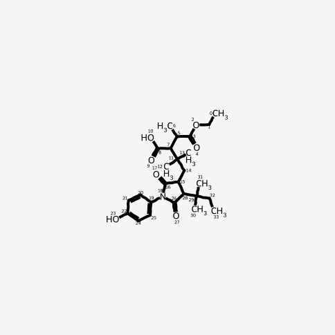 CCOC(=O)C(C)C(C(=O)O)C(C)(C)CC1C(=O)N(c2ccc(O)cc2)C(=O)C1C(C)(C)CC